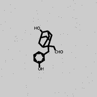 O=CCC1(Cc2cccc(O)c2)C2CC3CC1CC(C2)C3O